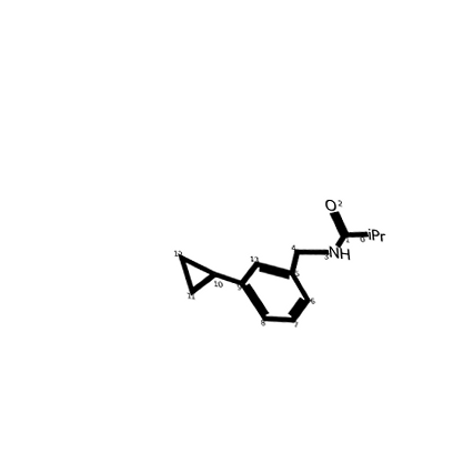 CC(C)C(=O)NCc1cccc(C2CC2)c1